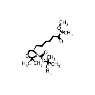 CON(C)C(=O)CCCCC[C@@H]1COC(C)(C)N1C(=O)OC(C)(C)C